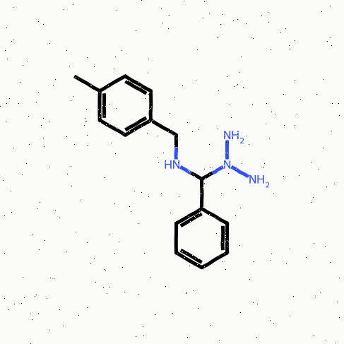 Cc1ccc(CNC(c2ccccc2)N(N)N)cc1